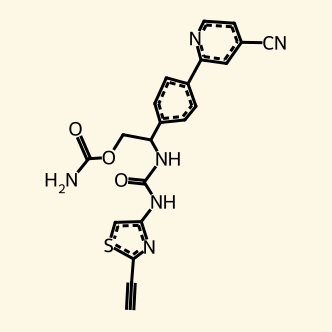 C#Cc1nc(NC(=O)NC(COC(N)=O)c2ccc(-c3cc(C#N)ccn3)cc2)cs1